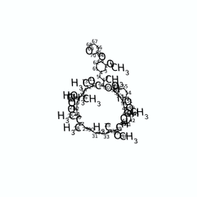 COC1C[C@@H](C[C@H](C)[C@@H]2CC(=O)[C@H](C)/C=C(\C)C(O)[C@@H](OC)C(=O)[C@H](C)C[C@H](C)/C=C/C=C/C=C(\C)[C@@H](OC)C[C@@H]3CC[C@@H](C)[C@@](O)(O3)C(=O)C(=O)N3CCCC[C@H]3C(=O)O2)CCC1OC1CCCOC1